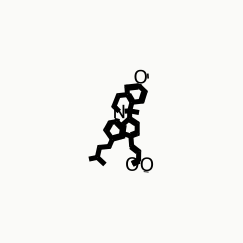 COC(=O)C=Cc1ccc(C2(C)c3ccc(OC)cc3CCN2c2ccc(CCC(C)C)cc2)cc1